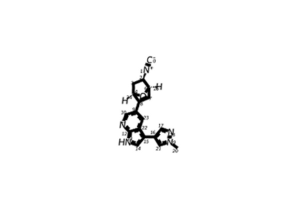 [C-]#[N+][C@@H]1C[C@H]2O[C@@H]1C=C2c1cnc2[nH]cc(-c3cnn(C)c3)c2c1